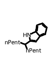 CCCCCC(CCCCC)c1cc2ccccc2[nH]1